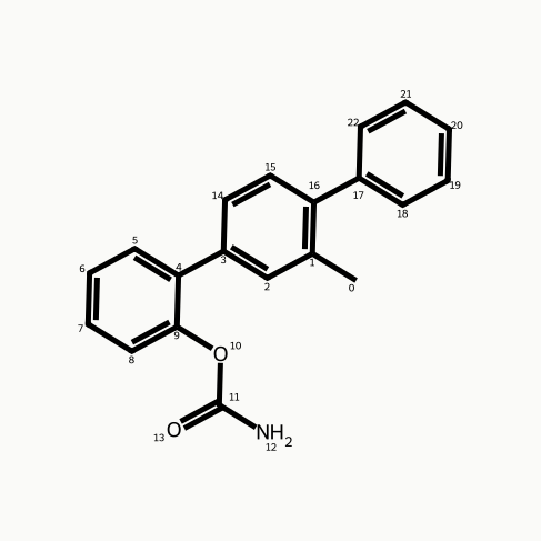 Cc1cc(-c2ccccc2OC(N)=O)ccc1-c1ccccc1